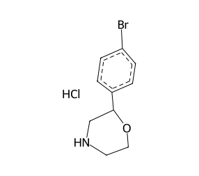 Brc1ccc(C2CNCCO2)cc1.Cl